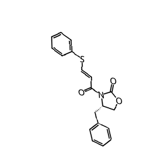 O=C(C=CSc1ccccc1)N1C(=O)OC[C@@H]1Cc1ccccc1